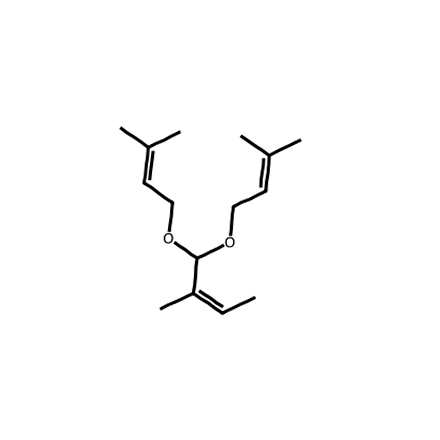 CC=C(C)C(OCC=C(C)C)OCC=C(C)C